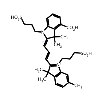 Cc1ccc2c(c1)[N+](CCCS(=O)(=O)O)=C(/C=C/C=C1/N(CCCS(=O)(=O)O)c3cccc(C(=O)O)c3C1(C)C)C2(C)C